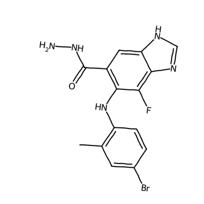 Cc1cc(Br)ccc1Nc1c(C(=O)NN)cc2[nH]cnc2c1F